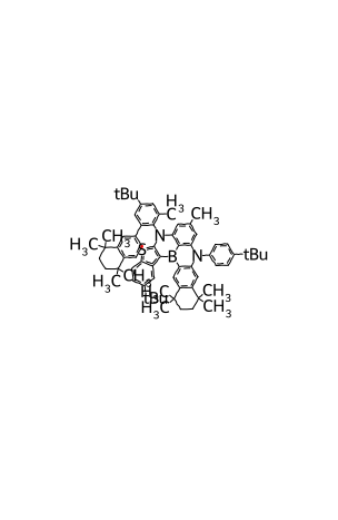 Cc1cc2c3c(c1)N(c1c(C)cc(C(C)(C)C)cc1-c1ccc4c(c1)C(C)(C)CCC4(C)C)c1sc4ccc(C(C)(C)C)cc4c1B3c1cc3c(cc1N2c1ccc(C(C)(C)C)cc1)C(C)(C)CCC3(C)C